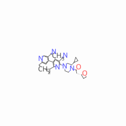 C=Cc1cc(-c2c(C3CC3)nc(N3CCN(C(=O)C[C@H]4CCO4)[C@H](C4CC4)C3)c(C#N)c2C)c(C#N)cn1